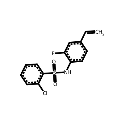 C=Cc1ccc(NS(=O)(=O)c2ccccc2Cl)c(F)c1